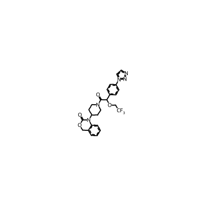 O=C(C(OCC(F)(F)F)c1ccc(-n2ccnn2)cc1)N1CCC(N2C(=O)OCc3ccccc32)CC1